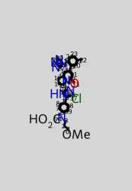 COCCCN(C(=O)O)c1ccc(-c2[nH]c([C@@H]3CCc4cc(-c5cc(C)ccc5-n5cnnn5)cc(=O)n43)nc2Cl)cc1